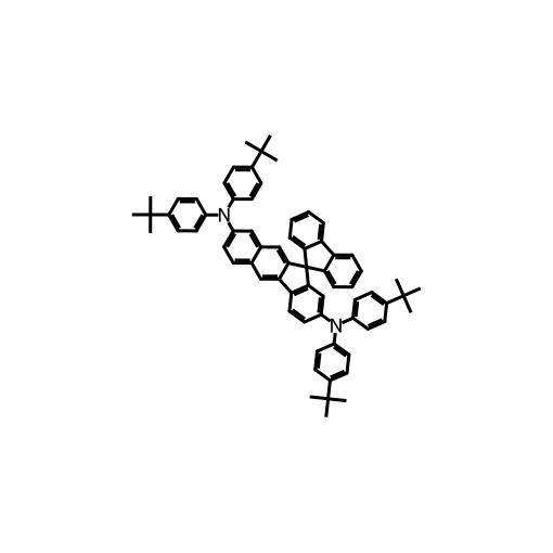 CC(C)(C)c1ccc(N(c2ccc(C(C)(C)C)cc2)c2ccc3c(c2)C2(c4ccccc4-c4ccccc42)c2cc4cc(N(c5ccc(C(C)(C)C)cc5)c5ccc(C(C)(C)C)cc5)ccc4cc2-3)cc1